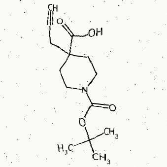 C#CCC1(C(=O)O)CCN(C(=O)OC(C)(C)C)CC1